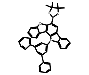 CC1(C)OB(c2cc3c4ccccc4n(-c4cc(-c5ccccc5)cc(-c5ccccc5)c4)c3c3c2oc2ccccc23)OC1(C)C